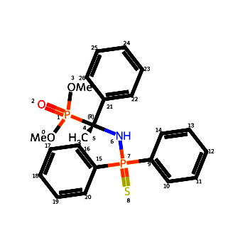 COP(=O)(OC)[C@@](C)(NP(=S)(c1ccccc1)c1ccccc1)c1ccccc1